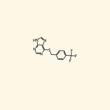 FC(F)(F)c1ccc(CSc2ncnc3[nH]cnc23)cc1